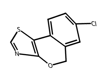 Clc1ccc2c(c1)COc1ncsc1-2